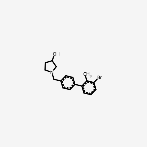 Cc1c(Br)cccc1-c1ccc(CN2CCC(O)C2)cc1